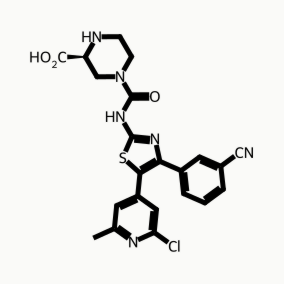 Cc1cc(-c2sc(NC(=O)N3CCN[C@H](C(=O)O)C3)nc2-c2cccc(C#N)c2)cc(Cl)n1